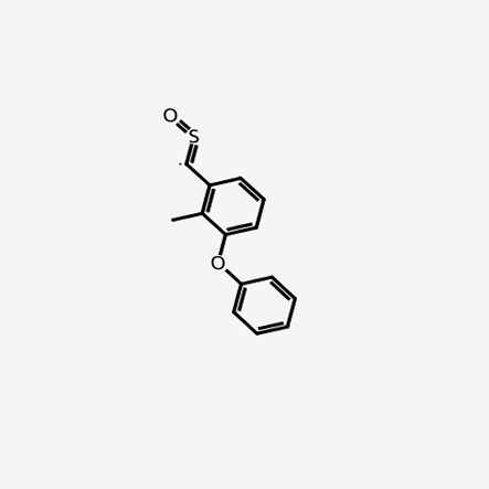 Cc1c([C]=S=O)cccc1Oc1ccccc1